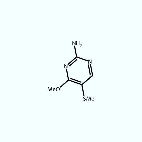 COc1nc(N)ncc1SC